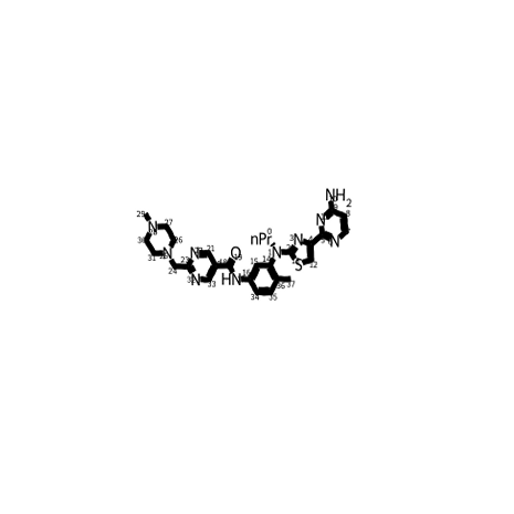 CCCN(c1nc(-c2nccc(N)n2)cs1)c1cc(NC(=O)c2cnc(CN3CCN(C)CC3)nc2)ccc1C